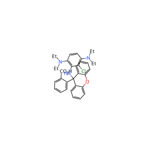 CCN(CC)c1ccc(N(CC)CC)c(NC2(c3ccccc3C(=O)O)c3ccccc3Oc3ccccc32)c1Cl